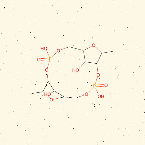 CC1OC2COP(=O)(O)OC3C(C)OC(COP(=O)(O)OC1C2O)C3O